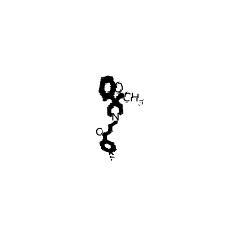 CC(=O)C1(c2ccccc2)CCN(CCCC(=O)c2ccc(F)cc2)CC1